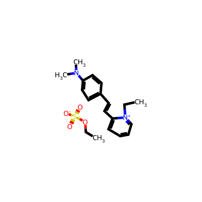 CCOS(=O)(=O)[O-].CC[n+]1ccccc1/C=C/c1ccc(N(C)C)cc1